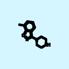 Cc1cccc2c(N3CCNCC3)noc12